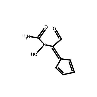 NC(=O)N(O)C(C=O)=C1C=CC=C1